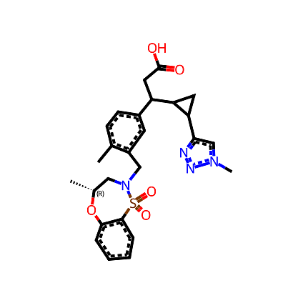 Cc1ccc(C(CC(=O)O)C2CC2c2cn(C)nn2)cc1CN1C[C@@H](C)Oc2ccccc2S1(=O)=O